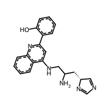 NC(CNc1cc(-c2ccccc2O)nc2ccccc12)C[C@@H]1C=NC=N1